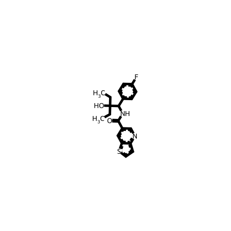 CCC(O)(CC)C(NC(=O)c1cnc2ccsc2c1)c1ccc(F)cc1